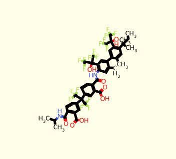 CCC(C)(C)c1cc(C)c(-c2cc(C(O)(C(F)(F)F)C(F)(F)F)c(NC(=O)c3ccc(C(c4ccc(C(=O)NC(C)C)c(C(=O)O)c4)(C(F)(F)F)C(F)(F)F)cc3C(=O)O)cc2C)cc1C(O)(C(F)(F)F)C(F)(F)F